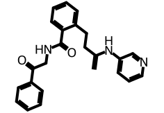 C=C(CCc1ccccc1C(=O)NCC(=O)c1ccccc1)Nc1cccnc1